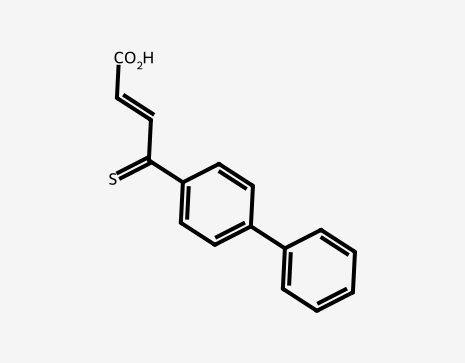 O=C(O)C=CC(=S)c1ccc(-c2ccccc2)cc1